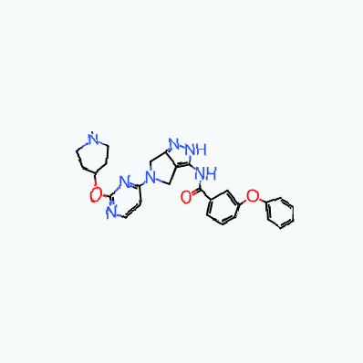 CN1CCC(Oc2nccc(N3Cc4n[nH]c(NC(=O)c5cccc(Oc6ccccc6)c5)c4C3)n2)CC1